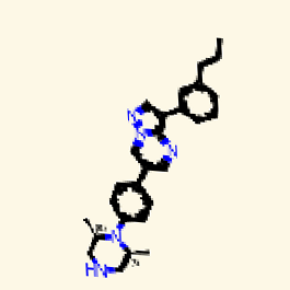 CCCc1cccc(-c2cnn3cc(-c4ccc(N5[C@H](C)CNC[C@@H]5C)cc4)cnc23)c1